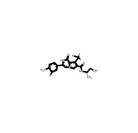 Cc1ccc(-c2cn3cc(C(=O)N[C@@H](C)CO)c(C(F)(F)F)c3c(=O)[nH]2)cc1F